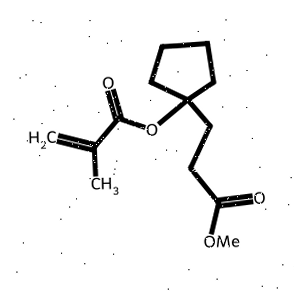 C=C(C)C(=O)OC1(CCC(=O)OC)CCCC1